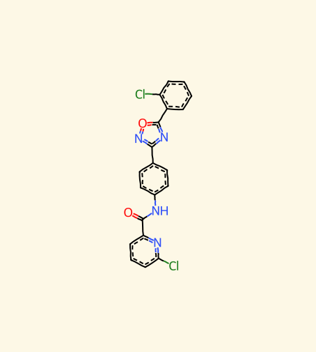 O=C(Nc1ccc(-c2noc(-c3ccccc3Cl)n2)cc1)c1cccc(Cl)n1